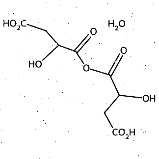 O.O=C(O)CC(O)C(=O)OC(=O)C(O)CC(=O)O